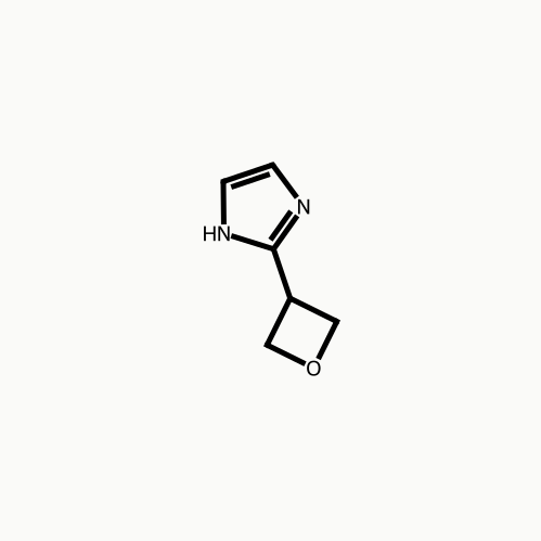 c1c[nH]c(C2COC2)n1